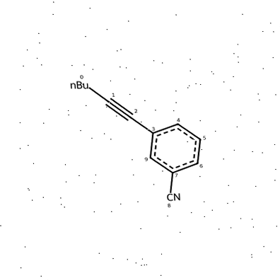 CCCCC#Cc1cccc(C#N)c1